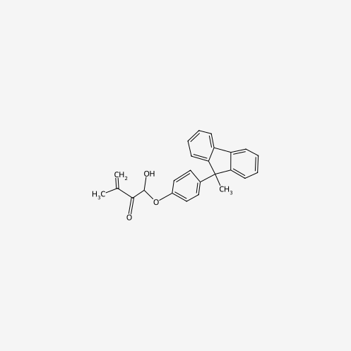 C=C(C)C(=O)C(O)Oc1ccc(C2(C)c3ccccc3-c3ccccc32)cc1